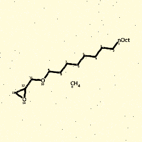 C.CCCCCCCCCCCCCCCCOCC1CO1